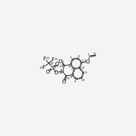 C=COc1ccc2c3c(cccc13)C(=O)N(OS(=O)(=O)C(F)(F)F)C2=O